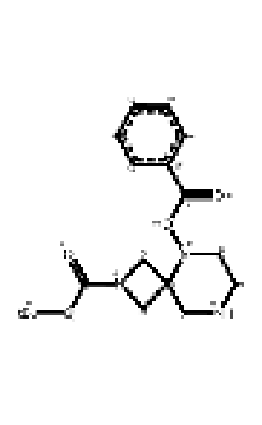 CC(C)(C)OC(=O)N1CC2(CNCCN2OC(=O)c2ccccc2)C1